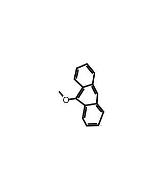 COc1c2cc[c]cc2cc2ccccc12